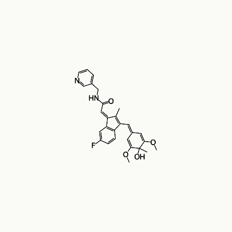 COC1=CC(=CC2=C(C)C(=CC(=O)NCc3cccnc3)c3cc(F)ccc32)C=C(OC)C1(C)O